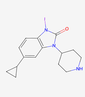 O=c1n(I)c2ccc(C3CC3)cc2n1C1CCNCC1